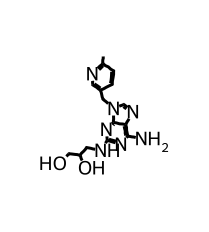 Cc1ccc(Cn2cnc3c(N)nc(NCC(O)CO)nc32)cn1